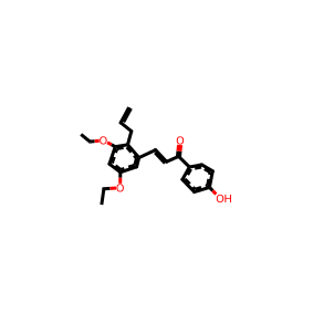 C=CCc1c(C=CC(=O)c2ccc(O)cc2)cc(OCC)cc1OCC